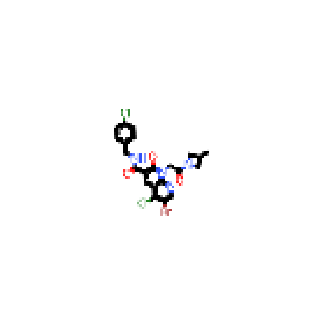 CC1CN(C(=O)Cn2c(=O)c(C(=O)NCc3ccc(Cl)cc3)cc3c(Cl)c(Br)cnc32)C1